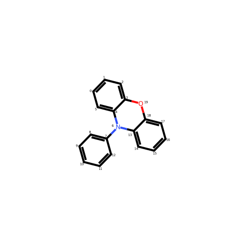 [c]1ccc2c(c1)N(c1ccccc1)c1ccccc1O2